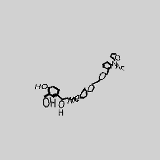 CC(=O)N(c1cccc(COCCOc2ccc(CCNC[C@@H](O)c3ccc(O)c(CO)c3)cc2)c1)c1ccco1